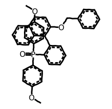 COc1ccc(P(=O)(c2ccc(OC)cc2)c2ccccc2-c2c(OCc3ccccc3)ccc3ccccc23)cc1